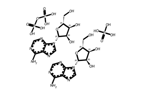 Nc1ncnc2c1ncn2[C@@H]1O[C@H](CO)[C@@H](O)[C@H]1O.Nc1ncnc2c1ncn2[C@@H]1O[C@H](CO)[C@@H](O)[C@H]1O.O=P(O)(O)O.O=P(O)(O)OP(=O)(O)O